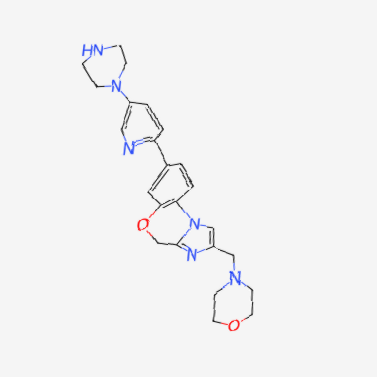 c1cc2c(cc1-c1ccc(N3CCNCC3)cn1)OCc1nc(CN3CCOCC3)cn1-2